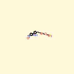 CN(C=O)c1ccc2c(c1)[nH]c1cc(CCCOCCOCCOSI)ccc12